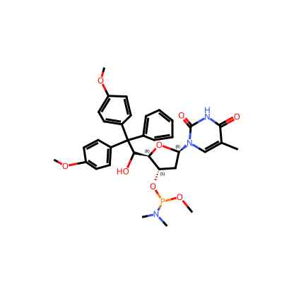 COc1ccc(C(c2ccccc2)(c2ccc(OC)cc2)C(O)[C@H]2O[C@@H](n3cc(C)c(=O)[nH]c3=O)C[C@@H]2OP(OC)N(C)C)cc1